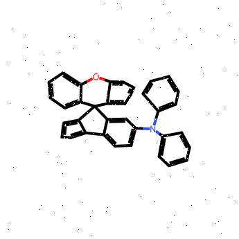 c1ccc(N(c2ccccc2)c2ccc3c(c2)C2(c4ccccc4Oc4ccccc42)c2ccccc2-3)cc1